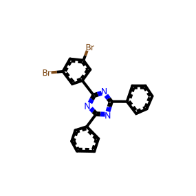 Brc1cc(Br)cc(-c2nc(-c3ccccc3)nc(-c3ccccc3)n2)c1